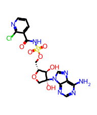 Nc1ncnc2c1ncn2[C@@]1(O)CO[C@H](COS(=O)(=O)NC(=O)c2cccnc2Cl)[C@H]1O